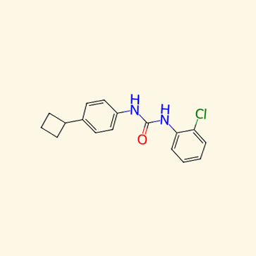 O=C(Nc1ccc(C2CCC2)cc1)Nc1ccccc1Cl